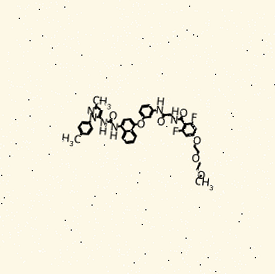 COCCOCCOc1cc(F)c(C(=O)NCC(=O)Nc2cccc(Oc3ccc(NC(=O)Nc4cc(C)nn4-c4ccc(C)cc4)c4ccccc34)c2)c(F)c1